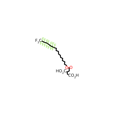 O=C(O)CC(CC(=O)OCCCCCCCCCCCC(F)(F)C(F)(F)C(F)(F)C(F)(F)C(F)(F)C(F)(F)C(F)(F)C(F)(F)F)C(=O)O